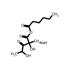 CCCCCC(=O)OC(=O)C(C)(O)C(=O)C(C)O.[NaH]